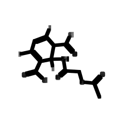 CC(=O)OCC(=O)NC1(I)C(C(=O)Cl)=C(I)C=C(I)C1C(=O)Cl